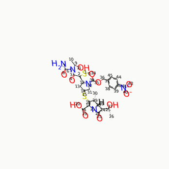 CSC(C(=O)N(C(N)=O)C(C)O)[C@@H]1C[C@H](SC2=C(C(=O)O)N3C(=O)[C@H]([C@@H](C)O)[C@H]3[C@H]2C)CN1C(=O)OCc1ccc([N+](=O)[O-])cc1